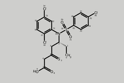 CC[C@H](CC(=S)CC(=O)O)N(c1cc(Cl)ccc1Cl)S(=O)(=O)c1ccc(Cl)cc1